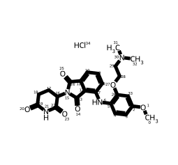 COc1ccc(Nc2cccc3c2C(=O)N(C2CCC(=O)NC2=O)C3=O)c(OCCN(C)C)c1.Cl